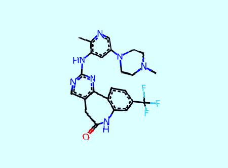 Cc1ncc(N2CCN(C)CC2)cc1Nc1ncc2c(n1)-c1ccc(C(F)(F)F)cc1NC(=O)C2